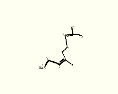 CSCC=C(C)CCC=C(C)C